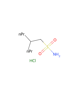 CCCC(CCC)CS(N)(=O)=O.Cl